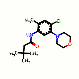 Cc1cc(Cl)c(N2CCOCC2)cc1NC(=O)CC(C)(C)C